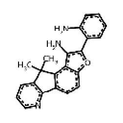 CC1(C)c2cccnc2-c2ccc3oc(-c4ccccc4N)c(N)c3c21